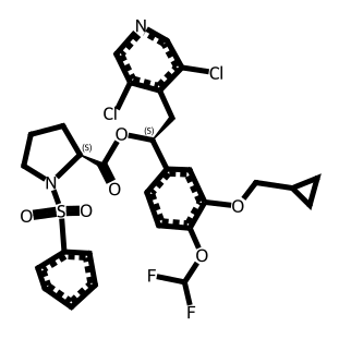 O=C(O[C@@H](Cc1c(Cl)cncc1Cl)c1ccc(OC(F)F)c(OCC2CC2)c1)[C@@H]1CCCN1S(=O)(=O)c1ccccc1